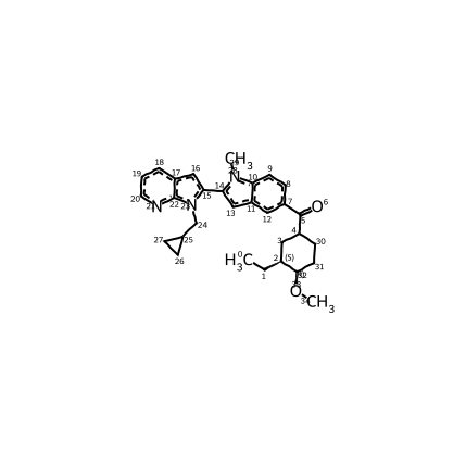 CC[C@H]1CC(C(=O)c2ccc3c(c2)cc(-c2cc4cccnc4n2CC2CC2)n3C)CC[C@H]1OC